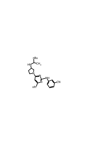 CCCCC(C)NC1CCN(c2cc(CCC)nc(Nc3cccc(C#N)c3)n2)C1